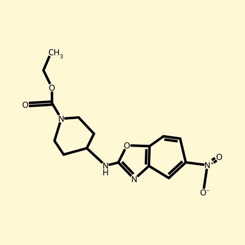 CCOC(=O)N1CCC(Nc2nc3cc([N+](=O)[O-])ccc3o2)CC1